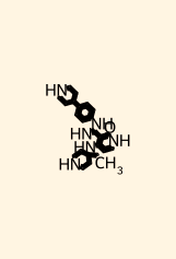 CCC1(Nc2cc[nH]c(=O)c2C(=N)Nc2ccc(C3CCNCC3)cc2)CCNCC1